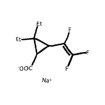 CCC1(CC)C(C(=O)[O-])C1C(F)=C(F)F.[Na+]